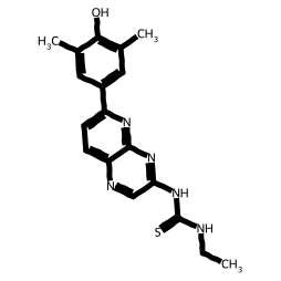 CCNC(=S)Nc1cnc2ccc(-c3cc(C)c(O)c(C)c3)nc2n1